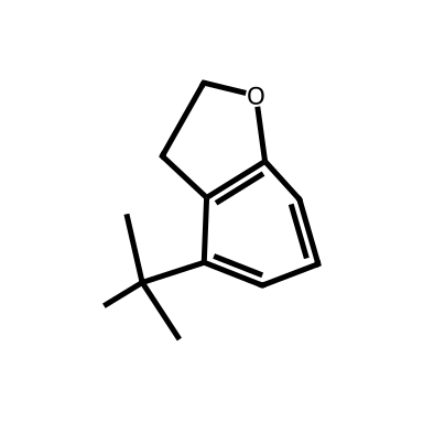 CC(C)(C)c1cccc2c1CCO2